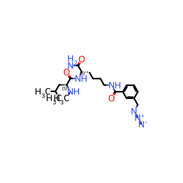 CN[C@@H](CC(C)C)C(=O)N[C@@H](CCCCNC(=O)c1cccc(CN=[N+]=[N-])c1)C(N)=O